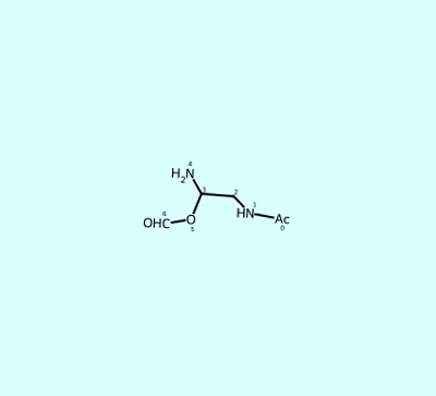 CC(=O)NCC(N)OC=O